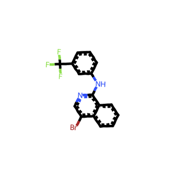 FC(F)(F)c1cccc(Nc2ncc(Br)c3ccccc23)c1